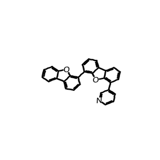 c1cncc(-c2cccc3c2oc2c(-c4cccc5c4oc4ccccc45)cccc23)c1